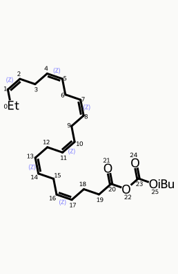 CC/C=C\C/C=C\C/C=C\C/C=C\C/C=C\C/C=C\CCC(=O)OC(=O)OCC(C)C